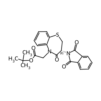 CC(C)(C)OC(=O)CN1C(=O)[C@@H](N2C(=O)c3ccccc3C2=O)CSc2ccccc21